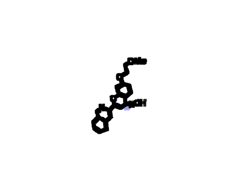 COCCOc1ccc2/c(=N\O)cc(-c3cc4ccccc4cn3)oc2c1